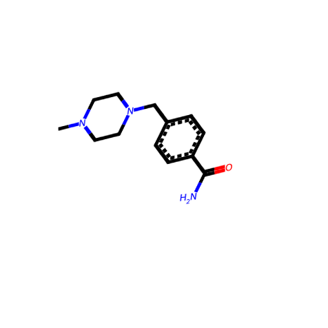 CN1CCN(Cc2ccc(C(N)=O)cc2)CC1